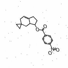 O=C(OC1CCC2=CCC3(CC3)CC21)c1ccc([N+](=O)[O-])cc1